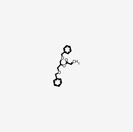 C=CC(=O)OC(COCc1ccccc1)COCc1ccccc1